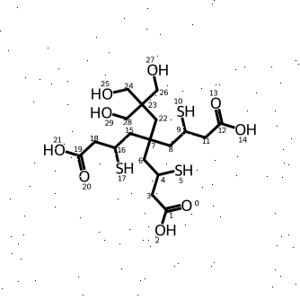 O=C(O)CC(S)CC(CC(S)CC(=O)O)(CC(S)CC(=O)O)CC(CO)(CO)CO